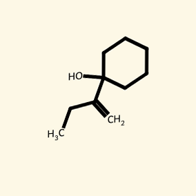 C=C(CC)C1(O)CCCCC1